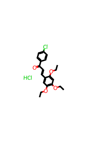 CCOc1cc(OCC)c(OCC)cc1C=CC(=O)c1ccc(Cl)cc1.Cl